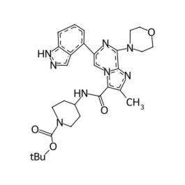 Cc1nc2c(N3CCOCC3)nc(-c3cccc4[nH]ncc34)cn2c1C(=O)NC1CCN(C(=O)OC(C)(C)C)CC1